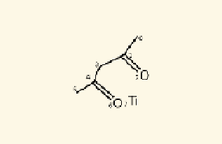 CC(=O)CC(C)=O.[Ti]